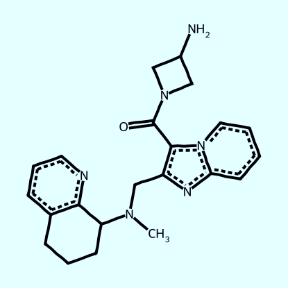 CN(Cc1nc2ccccn2c1C(=O)N1CC(N)C1)C1CCCc2cccnc21